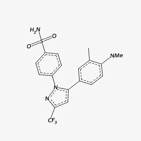 CNc1ccc(-c2cc(C(F)(F)F)nn2-c2ccc(S(N)(=O)=O)cc2)cc1C